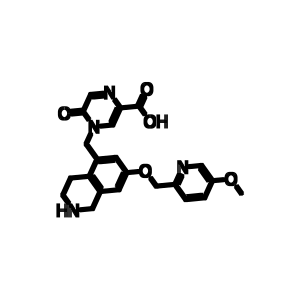 COc1ccc(COc2cc3c(c(Cn4cc(C(=O)O)ncc4=O)c2)CCNC3)nc1